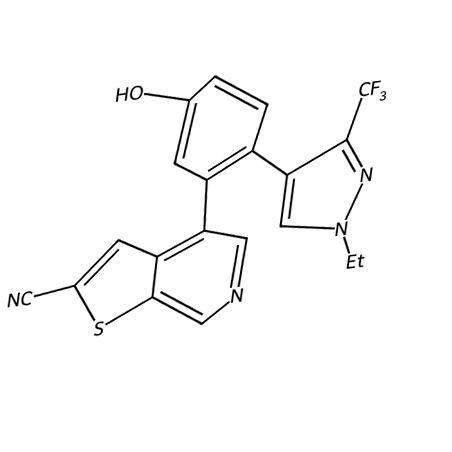 CCn1cc(-c2ccc(O)cc2-c2cncc3sc(C#N)cc23)c(C(F)(F)F)n1